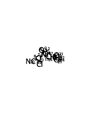 CC1(C)C(=O)N(c2ccc(C#N)c(Cl)c2)c2ccc(B3OC(C)(C)C(C)(C)O3)cc21